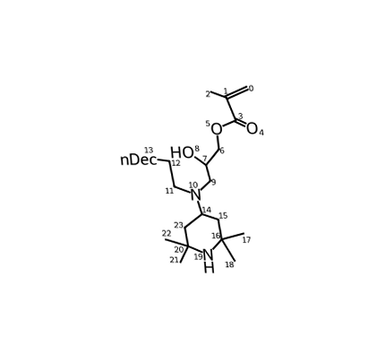 C=C(C)C(=O)OCC(O)CN(CCCCCCCCCCCC)C1CC(C)(C)NC(C)(C)C1